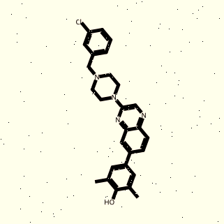 Cc1cc(-c2ccc3ncc(N4CCN(Cc5cccc(Cl)c5)CC4)nc3c2)cc(C)c1O